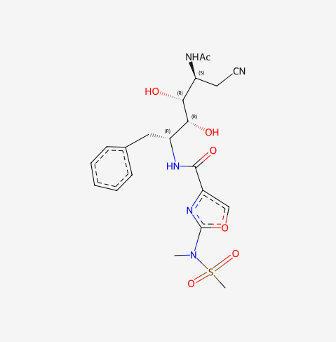 CC(=O)N[C@@H](CC#N)[C@@H](O)[C@H](O)[C@@H](Cc1ccccc1)NC(=O)c1coc(N(C)S(C)(=O)=O)n1